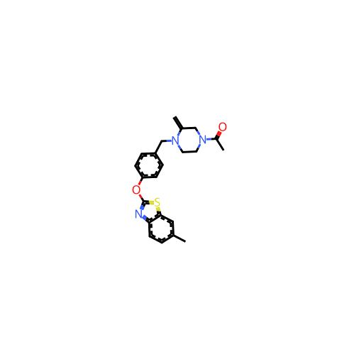 C=C1CN(C(C)=O)CCN1Cc1ccc(Oc2nc3ccc(C)cc3s2)cc1